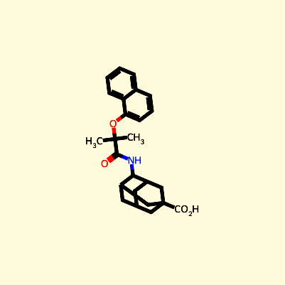 CC(C)(Oc1cccc2ccccc12)C(=O)NC1C2CC3CC1CC(C(=O)O)(C3)C2